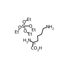 CCO[Si](OCC)(OCC)OCC.NCCCC[C@H](N)C(=O)O